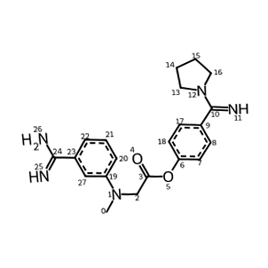 CN(CC(=O)Oc1ccc(C(=N)N2CCCC2)cc1)c1cccc(C(=N)N)c1